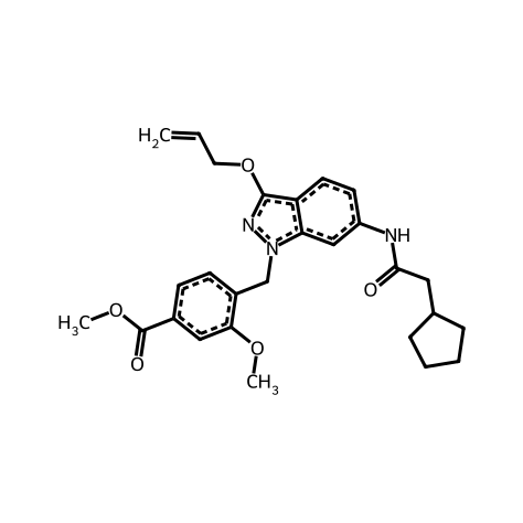 C=CCOc1nn(Cc2ccc(C(=O)OC)cc2OC)c2cc(NC(=O)CC3CCCC3)ccc12